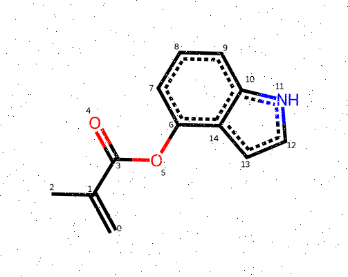 C=C(C)C(=O)Oc1cccc2[nH]ccc12